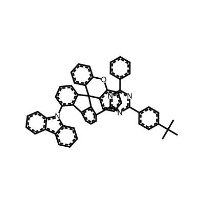 CC(C)(C)c1ccc(-c2nc(-c3ccccc3)nc(-c3cccc4c3C3(c5ccccc5Oc5ccccc53)c3cccc(-n5c6ccccc6c6ccccc65)c3-4)n2)cc1